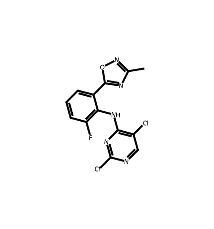 Cc1noc(-c2cccc(F)c2Nc2nc(Cl)ncc2Cl)n1